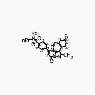 CCCN(CCC)S(=O)(=O)c1ccc(-c2cc(=O)n3nc(C)c(-c4ccc(F)cc4F)c3[nH]2)cc1